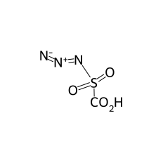 [N-]=[N+]=NS(=O)(=O)C(=O)O